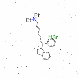 Br.CCN(CC)CC=CCCC=C(c1ccccc1)C1CCc2ccccc21